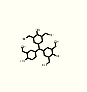 OCC1CC(C(C2CC(CO)C(O)C(CO)C2)C2CC(CO)C(O)C(CO)C2)CCC1O